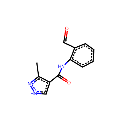 Cc1n[nH]cc1C(=O)Nc1ccccc1C=O